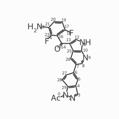 CC(=O)n1ncc2cc(-c3cnc4[nH]cc(C(=O)c5c(F)ccc(N)c5F)c4c3)ccc21